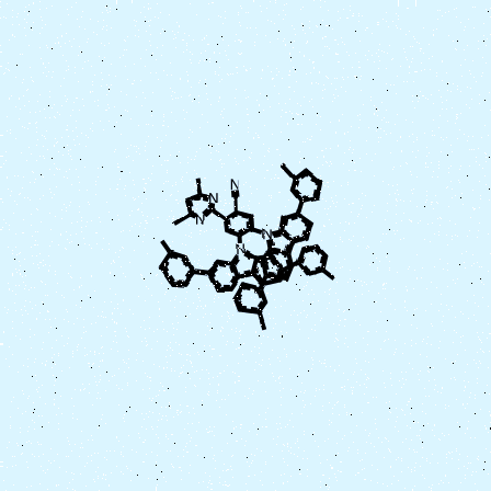 Cc1cccc(-c2ccc3c4ccc(-c5cccc(C)c5)cc4n(-c4cc(C#N)c(-c5nc(C)cc(C)n5)cc4-n4c5cc(-c6cccc(C)c6)ccc5c5ccc(-c6cccc(C)c6)cc54)c3c2)c1